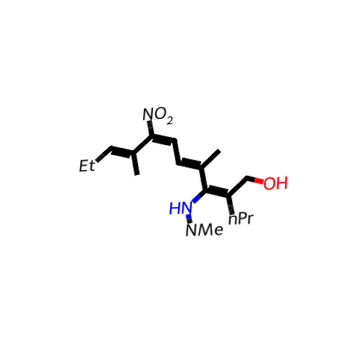 CC/C=C(C)/C(=C\C=C(C)\C(NNC)=C(/CO)CCC)[N+](=O)[O-]